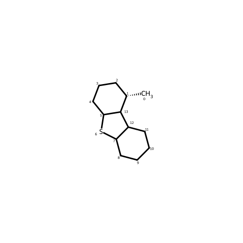 C[C@H]1CCCC2SC3CCCCC3C21